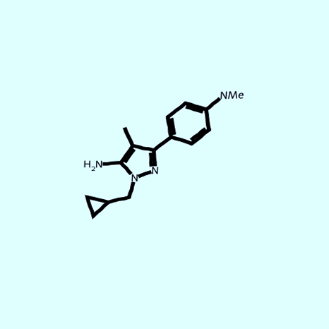 CNc1ccc(-c2nn(CC3CC3)c(N)c2C)cc1